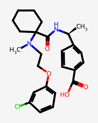 C[C@H](NC(=O)C1(N(C)CCOc2cccc(Cl)c2)CCCCC1)c1ccc(C(=O)O)cc1